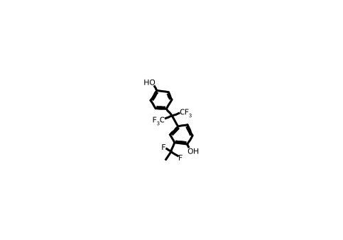 CC(F)(F)c1cc(C(c2ccc(O)cc2)(C(F)(F)F)C(F)(F)F)ccc1O